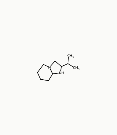 CC(C)C1CN2CCCCC2N1